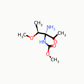 COC(=O)N[C@](N)(C(C)=O)[C@H](C)OC